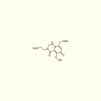 CCCCOc1c2n(c(COC)cc1=O)NCN(CCOC)C2=O